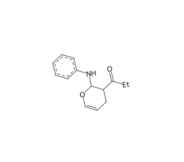 CCC(=O)C1CC=COC1Nc1ccccc1